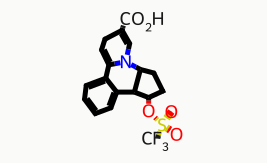 O=C(O)C1=CN2C(=CC1)c1ccccc1C1C(OS(=O)(=O)C(F)(F)F)CCC12